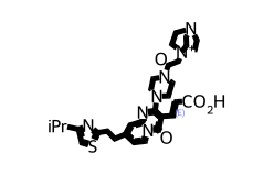 CC(C)c1csc(CCc2ccn3c(=O)c(/C=C/C(=O)O)c(N4CCN(C(=O)C[N+]56CCN(CC5)CC6)CC4)nc3c2)n1